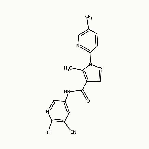 Cc1c(C(=O)Nc2cnc(Cl)c(C#N)c2)cnn1-c1ccc(C(F)(F)F)cn1